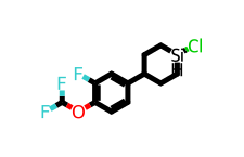 Fc1cc(C2CC[SiH](Cl)CC2)ccc1OC(F)F